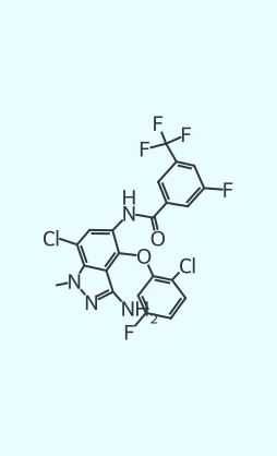 Cn1nc(N)c2c(Oc3cc(F)ccc3Cl)c(NC(=O)c3cc(F)cc(C(F)(F)F)c3)cc(Cl)c21